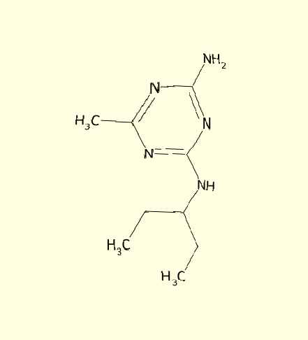 CCC(CC)Nc1nc(C)nc(N)n1